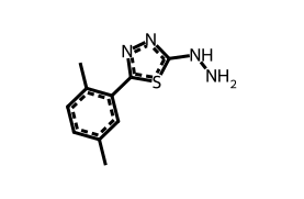 Cc1ccc(C)c(-c2nnc(NN)s2)c1